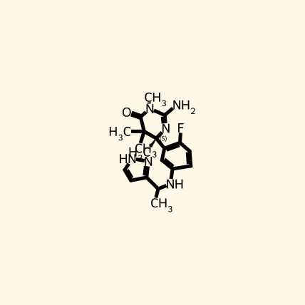 CC(Nc1ccc(F)c([C@@]2(C)N=C(N)N(C)C(=O)C2(C)C)c1)c1cc[nH]n1